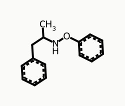 CC(Cc1ccccc1)NOc1ccccc1